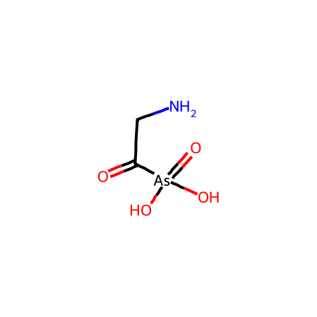 NCC(=O)[As](=O)(O)O